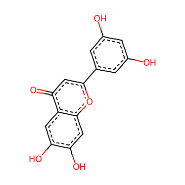 O=c1cc(-c2cc(O)cc(O)c2)oc2cc(O)c(O)cc12